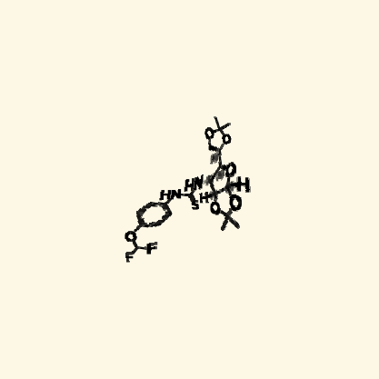 CC1(C)O[C@H]2O[C@H]([C@H]3COC(C)(C)O3)[C@@H](NC(=S)Nc3ccc(OC(F)F)cc3)[C@H]2O1